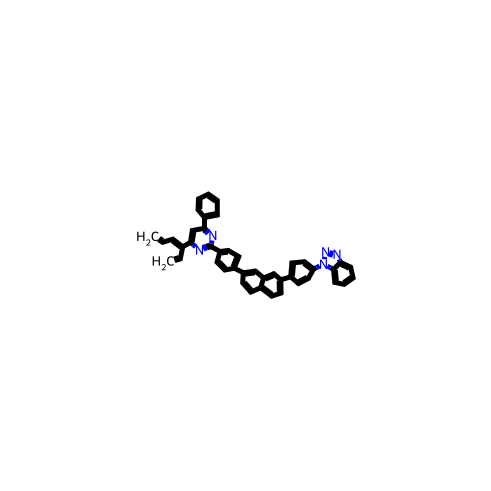 C=C/C=C(\C=C)c1cc(-c2ccccc2)nc(-c2ccc(-c3ccc4ccc(-c5ccc(-n6nnc7ccccc76)cc5)cc4c3)cc2)n1